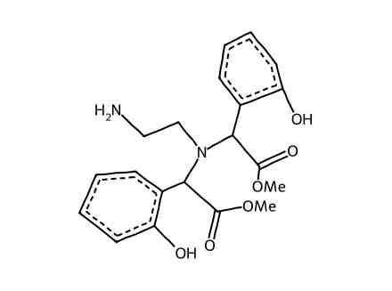 COC(=O)C(c1ccccc1O)N(CCN)C(C(=O)OC)c1ccccc1O